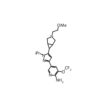 COCCN1CC2C(C1)C2c1cc(-c2cnc(N)c(OC(F)(F)F)c2)nn1C(C)C